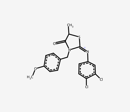 COc1ccc(CN2C(=O)C(C)S/C2=N/c2ccc(Cl)c(Cl)c2)cc1